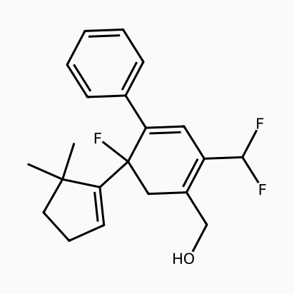 CC1(C)CCC=C1C1(F)CC(CO)=C(C(F)F)C=C1c1ccccc1